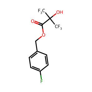 O=C(OCc1ccc(F)cc1)C(O)(C(F)(F)F)C(F)(F)F